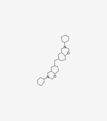 C1CCC(N2COC3CCC(CC4CCC5OCN(C6CCCCC6)CC5C4)CC3C2)CC1